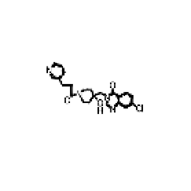 O=C(CCc1cccnc1)N1CCC(O)(Cn2cnc3cc(Cl)ccc3c2=O)CC1